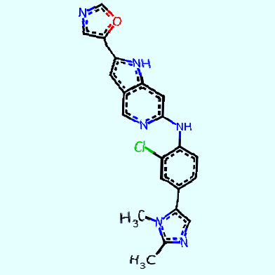 Cc1ncc(-c2ccc(Nc3cc4[nH]c(-c5cnco5)cc4cn3)c(Cl)c2)n1C